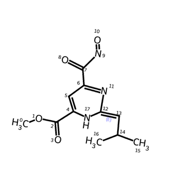 COC(=O)C1=CC(C(=O)N=O)=N/C(=C/C(C)C)N1